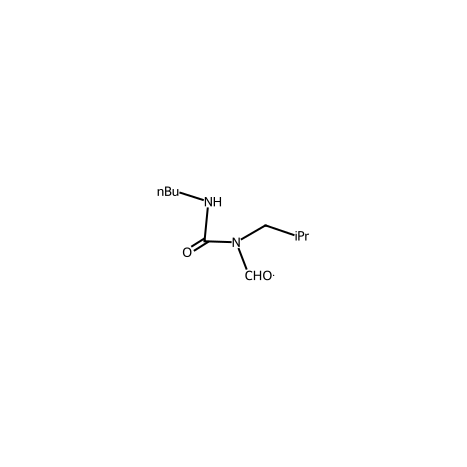 CCCCNC(=O)N([C]=O)CC(C)C